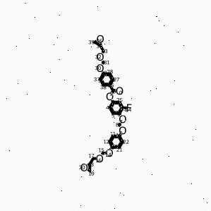 O=C(Oc1ccc(OCOc2ccc(OCOCC3CO3)cc2)c(F)c1)c1ccc(OCOCC2CO2)cc1